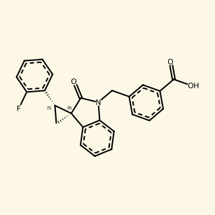 O=C(O)c1cccc(CN2C(=O)[C@@]3(C[C@@H]3c3ccccc3F)c3ccccc32)c1